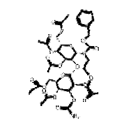 CCOCCN(C(=O)OCc1ccccc1)[C@@H]1O[C@@H](COC(C)=O)[C@@H](OC(C)=O)[C@H](OC(C)=O)[C@@H]1O[C@H]1O[C@H](COC(C)=O)[C@@H](OC(C)=O)[C@H](OC(N)=O)[C@@H]1OC(C)=O